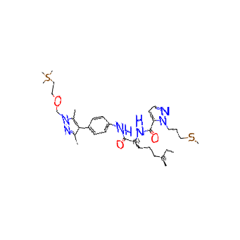 CC[C@@H](C)CCC[C@H](NC(=O)c1ccnn1CCCSC)C(=O)Nc1ccc(-c2c(C)nn(COCCS(C)(C)C)c2C)cc1